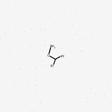 BOC(CC)CCC